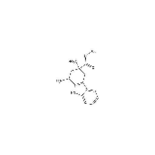 CC(C)(C)OC(=O)C1(C(=O)O)Cc2c([nH]c3ccccc23)C(N)C1